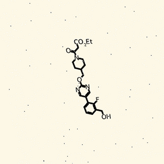 CCOC(=O)CC(=O)N1CCC(COc2ncc(-c3cccc(CO)c3F)cn2)CC1